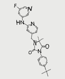 CC(C)(C)c1ccc(N2C(=O)N(Cc3ccnc(Nc4cncc(F)c4)c3)C(C)(C)C2=O)cc1